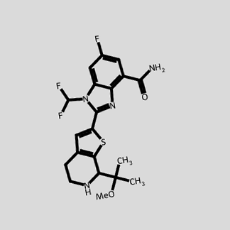 COC(C)(C)C1NCCc2cc(-c3nc4c(C(N)=O)cc(F)cc4n3C(F)F)sc21